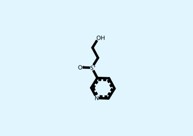 [O-][S+](CCO)c1cccnc1